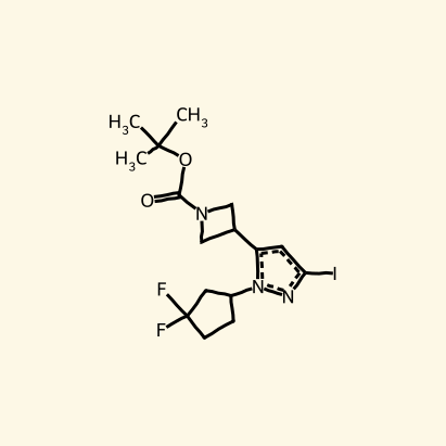 CC(C)(C)OC(=O)N1CC(c2cc(I)nn2C2CCC(F)(F)C2)C1